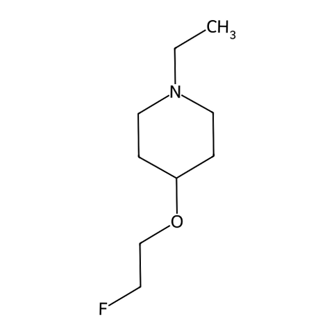 CCN1CCC(OCCF)CC1